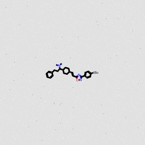 CN(C)C(CCc1ccccc1)C1CCC(C=Cc2nc(-c3ccc(C(C)(C)C)cc3)no2)CC1